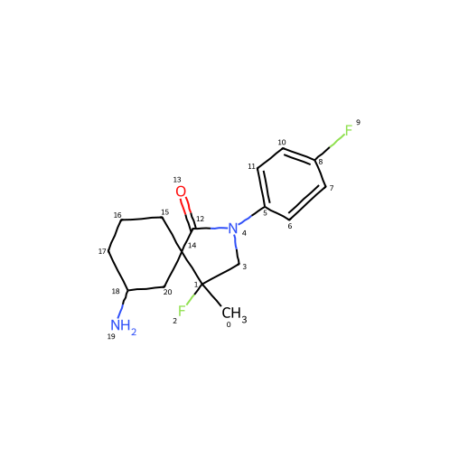 CC1(F)CN(c2ccc(F)cc2)C(=O)C12CCCC(N)C2